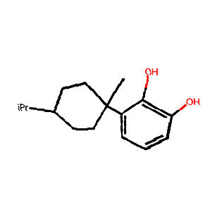 CC(C)C1CCC(C)(c2cccc(O)c2O)CC1